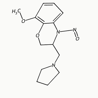 COc1cccc2c1OCC(CN1CCCC1)N2N=O